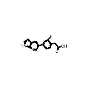 O=C(O)Cc1ccc(-c2cnc3[nH]ccc3c2)cc1F